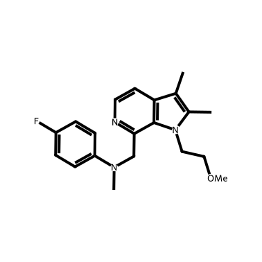 COCCn1c(C)c(C)c2ccnc(CN(C)c3ccc(F)cc3)c21